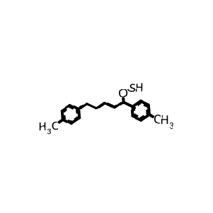 Cc1ccc(CCCCC(OS)c2ccc(C)cc2)cc1